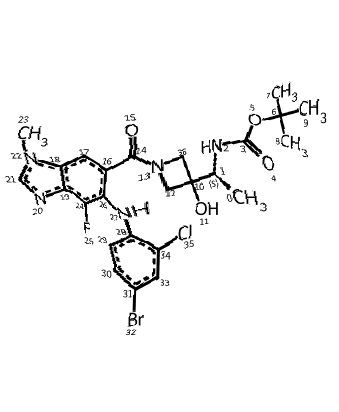 C[C@H](NC(=O)OC(C)(C)C)C1(O)CN(C(=O)c2cc3c(ncn3C)c(F)c2Nc2ccc(Br)cc2Cl)C1